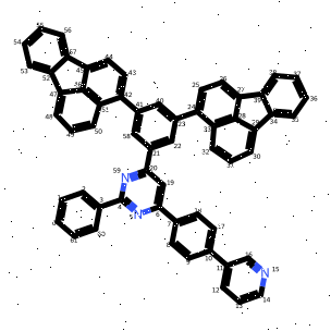 c1ccc(-c2nc(-c3ccc(-c4cccnc4)cc3)cc(-c3cc(-c4ccc5c6c(cccc46)-c4ccccc4-5)cc(-c4ccc5c6c(cccc46)-c4ccccc4-5)c3)n2)cc1